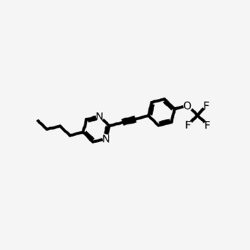 CCCCc1cnc(C#Cc2ccc(OC(F)(F)F)cc2)nc1